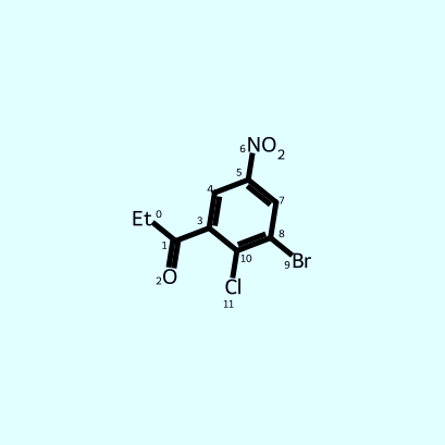 CCC(=O)c1cc([N+](=O)[O-])cc(Br)c1Cl